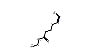 CC(C)/C=C\CCCC(=O)NCC(C)C